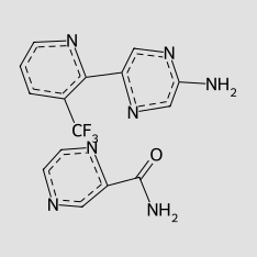 NC(=O)c1cnccn1.Nc1cnc(-c2ncccc2C(F)(F)F)cn1